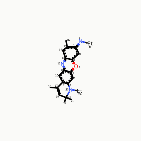 CCN=c1cc2oc3cc4c(cc3nc-2cc1C)C(C)=CC(C)(C)N4CC